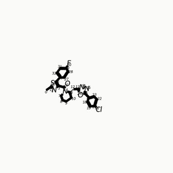 Cc1nc(C(=O)N2CCCC[C@H]2Cc2nnc(-c3ccc(Cl)cc3)o2)c(-c2ccc(F)cc2)s1